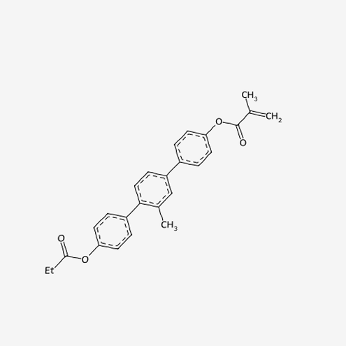 C=C(C)C(=O)Oc1ccc(-c2ccc(-c3ccc(OC(=O)CC)cc3)c(C)c2)cc1